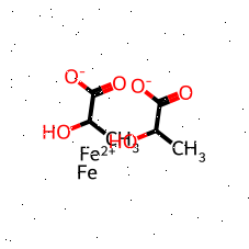 CC(O)C(=O)[O-].CC(O)C(=O)[O-].[Fe+2].[Fe]